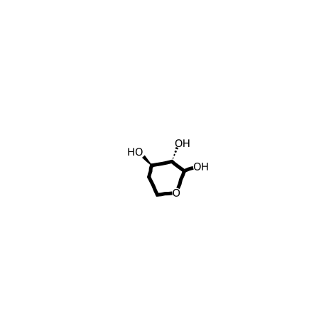 OC1OCC[C@@H](O)[C@@H]1O